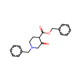 O=C1CN(Cc2ccccc2)CCC1C(=O)OCc1ccccc1